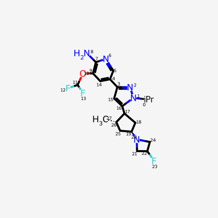 CC(C)n1nc(-c2cnc(N)c(OC(F)F)c2)cc1C1C[C@@H](N2CC(F)C2)C[C@@H]1C